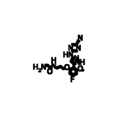 COc1cc(F)cc(OCCCNC(=O)CN)c1-c1cc(Nc2cnc(C#N)cn2)n[nH]1